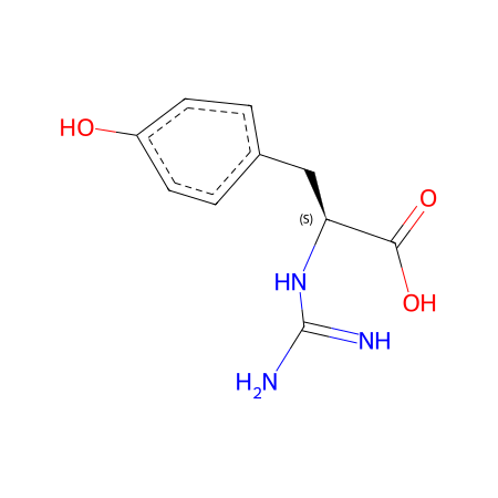 N=C(N)N[C@@H](Cc1ccc(O)cc1)C(=O)O